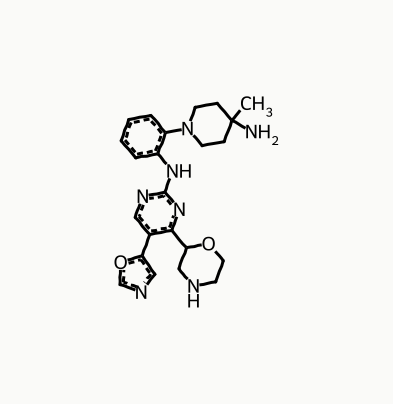 CC1(N)CCN(c2ccccc2Nc2ncc(-c3cnco3)c(C3CNCCO3)n2)CC1